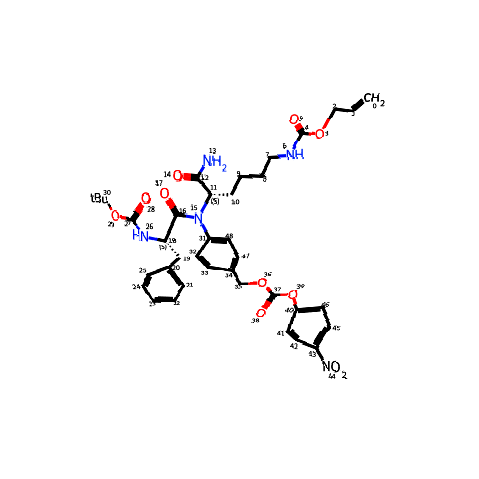 C=CCOC(=O)NCCCC[C@@H](C(N)=O)N(C(=O)[C@H](Cc1ccccc1)NC(=O)OC(C)(C)C)c1ccc(COC(=O)Oc2ccc([N+](=O)[O-])cc2)cc1